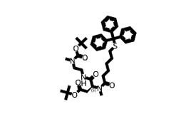 CN(CCNC(=O)[C@H](CC(=O)OC(C)(C)C)N(C)C(=O)CCCCCSC(c1ccccc1)(c1ccccc1)c1ccccc1)C(=O)OC(C)(C)C